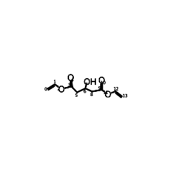 C=COC(=O)CC(O)CC(=O)OC=C